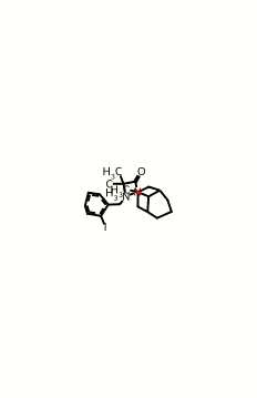 CC1CC2CCCC(C1)C2N1C(=O)C(C)(C)N1Cc1ccccc1I